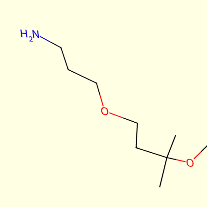 COC(C)(C)CCOCCCN